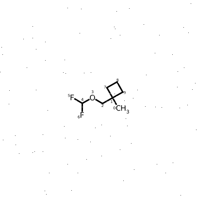 CC1(COC(F)F)CCC1